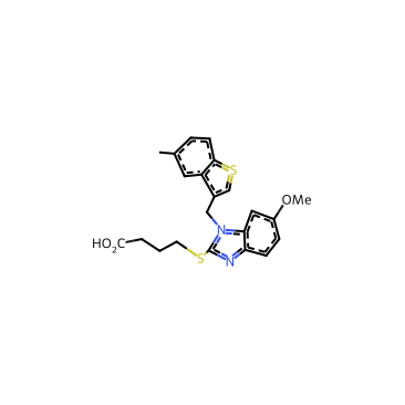 COc1ccc2nc(SCCCC(=O)O)n(Cc3csc4ccc(C)cc34)c2c1